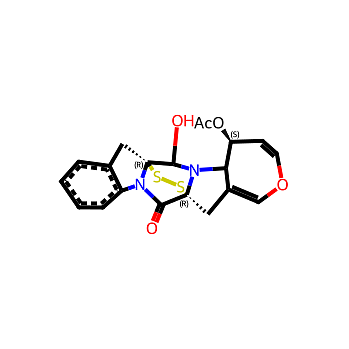 CC(=O)O[C@H]1C=COC=C2C[C@@]34SS[C@]5(Cc6ccccc6N5C3=O)C(O)N4C21